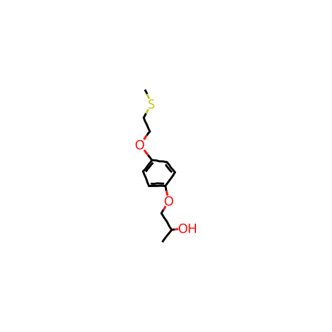 CSCCOc1ccc(OCC(C)O)cc1